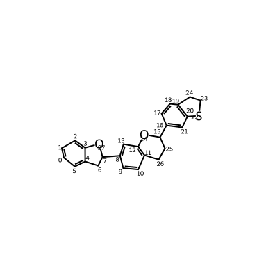 c1ccc2c(c1)CC(c1ccc3c(c1)OC(c1ccc4c(c1)SCC4)CC3)O2